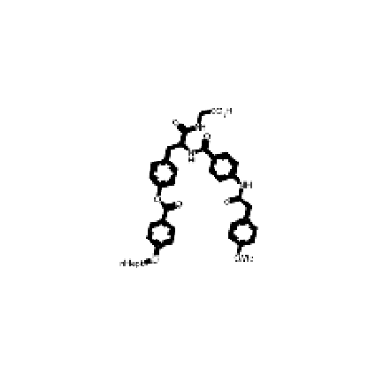 CCCCCCCOc1ccc(C(=O)Oc2ccc(CC(NC(=O)c3ccc(NC(=O)Cc4ccc(OC)cc4)cc3)C(=O)NCC(=O)O)cc2)cc1